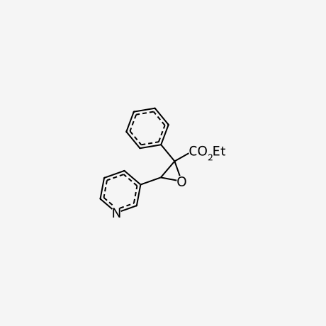 CCOC(=O)C1(c2ccccc2)OC1c1cccnc1